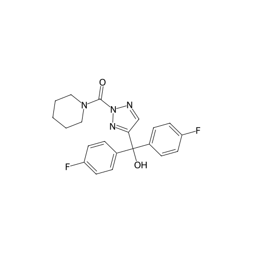 O=C(N1CCCCC1)n1ncc(C(O)(c2ccc(F)cc2)c2ccc(F)cc2)n1